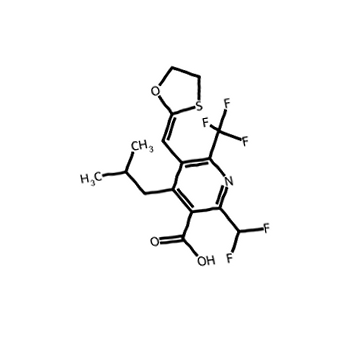 CC(C)Cc1c(/C=C2/OCCS2)c(C(F)(F)F)nc(C(F)F)c1C(=O)O